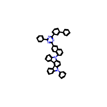 c1ccc(-c2cccc(-c3nc(-c4ccccc4)nc(-c4ccc5c(-n6c7ccccc7c7c8c9ccccc9n(-c9ccccc9)c8ccc76)cccc5c4)n3)c2)cc1